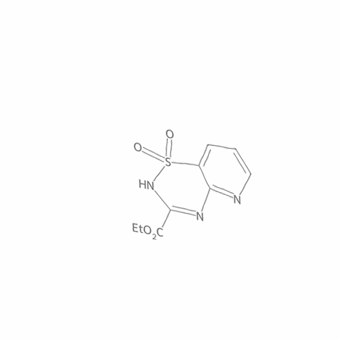 CCOC(=O)C1=Nc2ncccc2S(=O)(=O)N1